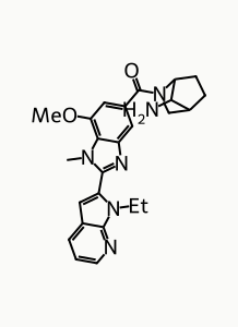 CCn1c(-c2nc3cc(C(=O)N4CC5CCC4C5N)cc(OC)c3n2C)cc2cccnc21